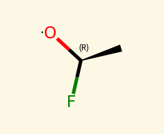 C[C@H]([O])F